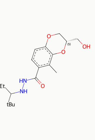 CCC(NNC(=O)c1ccc2c(c1C)O[C@@H](CO)CO2)C(C)(C)C